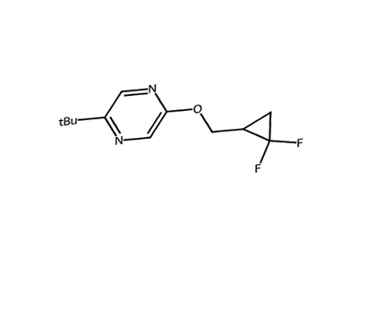 CC(C)(C)c1cnc(OCC2CC2(F)F)cn1